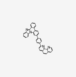 c1cnc2c(c1)ccc1ccc(-c3ccc(-c4ccc5c6ccccc6c6nc7ccccc7n6c5c4)cc3)nc12